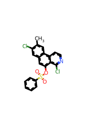 Cc1cc2c(cc1Cl)cc(OS(=O)(=O)c1ccccc1)c1c(Cl)nccc12